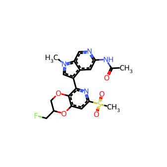 CC(=O)Nc1cc2c(-c3nc(S(C)(=O)=O)cc4c3OCC(CF)O4)cn(C)c2cn1